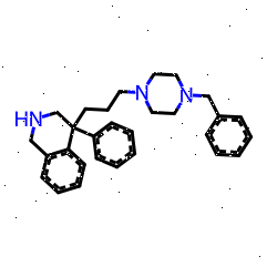 c1ccc(CN2CCN(CCCC3(c4ccccc4)CNCc4ccccc43)CC2)cc1